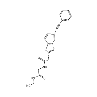 N#CCNC(=O)CNC(=O)Cc1nc2cc(C#Cc3ccccc3)ccc2s1